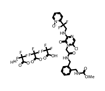 COC(=O)NCc1ccccc1CNC(=O)Cn1c(Cl)cnc(NCC(F)(F)c2cccc[n+]2[O-])c1=O.O=C(O)C(F)(F)F.O=C([O-])C(F)(F)F.O=C([O-])C(F)(F)F.[H+].[H+]